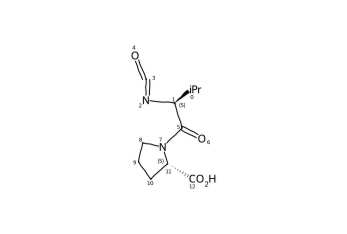 CC(C)[C@H](N=C=O)C(=O)N1CCC[C@H]1C(=O)O